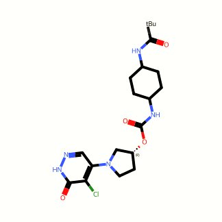 CC(C)(C)C(=O)NC1CCC(NC(=O)O[C@@H]2CCN(c3cn[nH]c(=O)c3Cl)C2)CC1